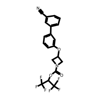 N#Cc1cccc(-c2cccc(OC3CN(C(=O)OC(C(F)(F)F)C(F)(F)F)C3)c2)c1